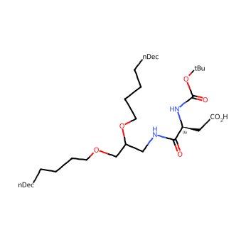 CCCCCCCCCCCCCCOCC(CNC(=O)[C@H](CC(=O)O)NC(=O)OC(C)(C)C)OCCCCCCCCCCCCCC